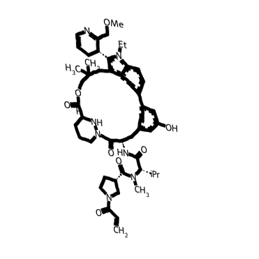 C=CC(=O)N1CC[C@H](C(=O)N(C)[C@H](C(=O)N[C@H]2Cc3cc(O)cc(c3)-c3ccc4c(c3)c(c([C@@H]3CC=CN=C3COC)n4CC)CC(C)(C)COC(=O)[C@@H]3CCCN(N3)C2=O)C(C)C)C1